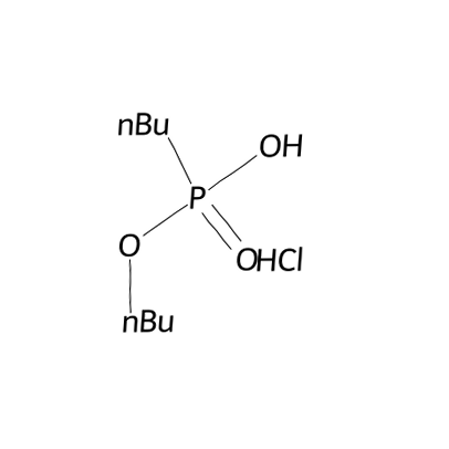 CCCCOP(=O)(O)CCCC.Cl